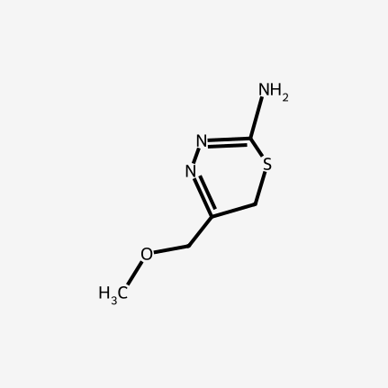 COCC1=NN=C(N)SC1